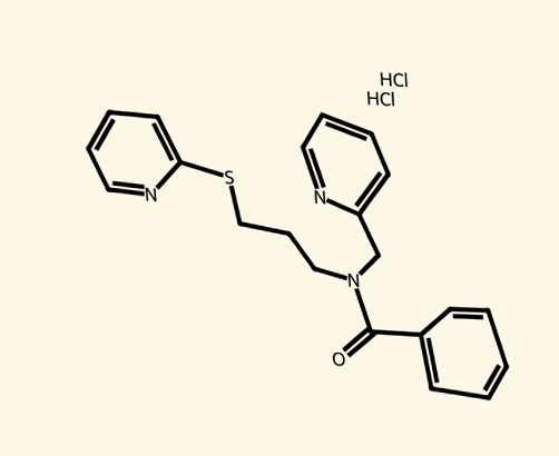 Cl.Cl.O=C(c1ccccc1)N(CCCSc1ccccn1)Cc1ccccn1